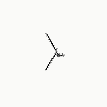 CCCCCCCCCCCCCC=CC=CC(=O)OC[C@H](COP(=O)([O-])OCC[N+](C)(C)C)OC(=O)CCCCCCCCCCCCCCCCC